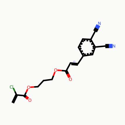 C=C(Cl)C(=O)OCCCOC(=O)/C=C/c1ccc(C#N)c(C#N)c1